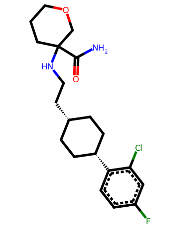 NC(=O)C1(NCC[C@H]2CC[C@@H](c3ccc(F)cc3Cl)CC2)CCCOC1